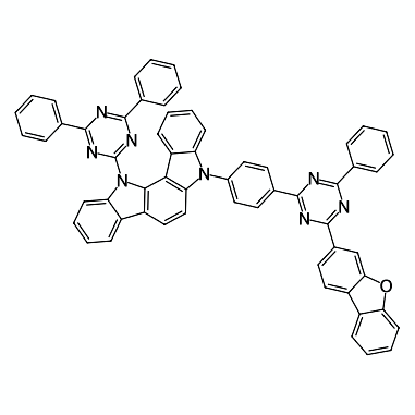 c1ccc(-c2nc(-c3ccc(-n4c5ccccc5c5c4ccc4c6ccccc6n(-c6nc(-c7ccccc7)nc(-c7ccccc7)n6)c45)cc3)nc(-c3ccc4c(c3)oc3ccccc34)n2)cc1